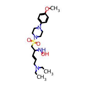 CCN(CC)CC=CC(CS(=O)(=O)N1CCN(c2ccc(OC)cc2)CC1)NO